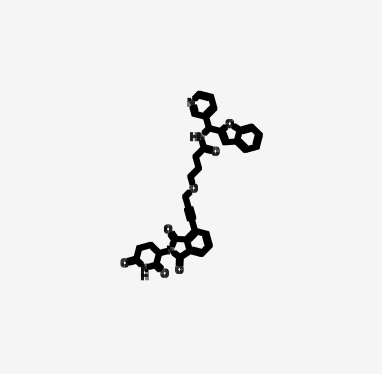 O=C1CCC(N2C(=O)c3cccc(C#CCOCCCC(=O)NC(c4cccnc4)c4cc5ccccc5o4)c3C2=O)C(=O)N1